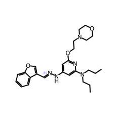 CCCN(CCC)c1cc(N/N=C/c2coc3ccccc23)cc(OCCN2CCOCC2)n1